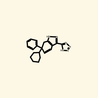 C1=CC(c2ccccc2)(C2CCCCC2)Cc2[nH]nc(-c3nnn[nH]3)c21